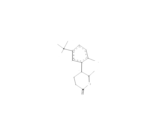 CC(C)(C)c1ccc(F)c(C2CCC(=O)NC2O)c1